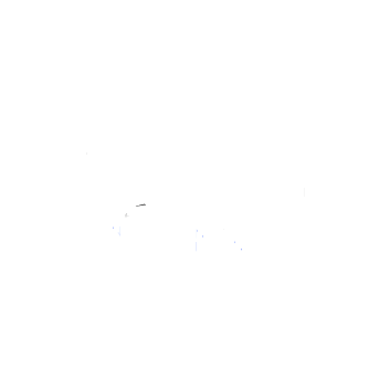 O=C(NCCC[C@@H]1C[C@@H](Cc2ccccc2)CCN1)Nc1cccc(C(F)(F)F)c1